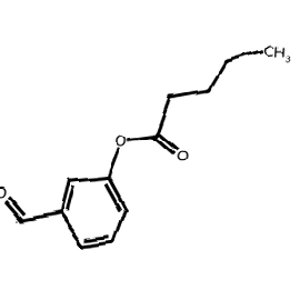 CCCCC(=O)Oc1cccc([C]=O)c1